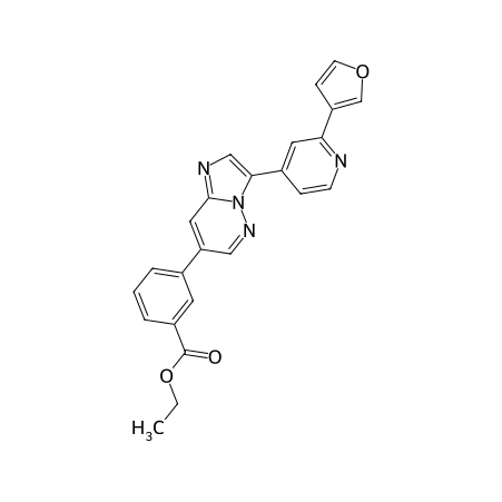 CCOC(=O)c1cccc(-c2cnn3c(-c4ccnc(-c5ccoc5)c4)cnc3c2)c1